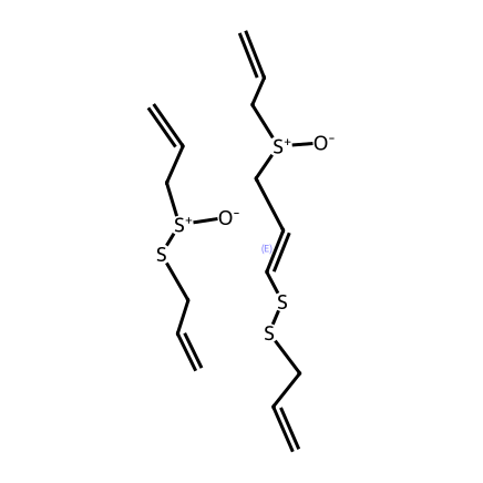 C=CCSS/C=C/C[S+]([O-])CC=C.C=CCS[S+]([O-])CC=C